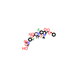 O=C(OCc1ccccc1)c1cn(C2CC2)c2c3c(c(F)cc2c1=O)N1CCC(O)(COc2ccc(N4C[C@H](CO)OC4=O)cc2F)C[C@H]1CO3